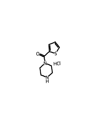 Cl.O=C(c1cccs1)N1CCNCC1